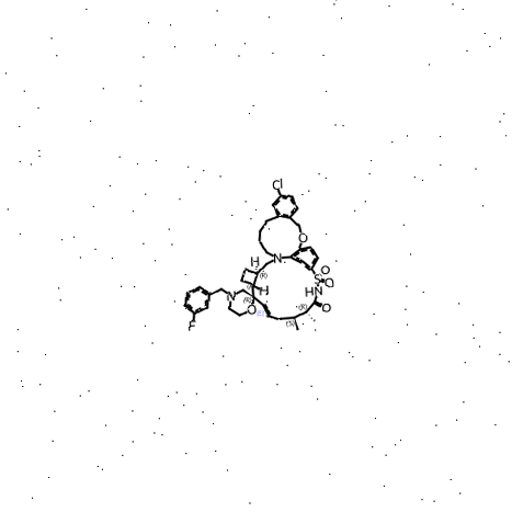 C[C@H]1C/C=C/[C@@]2(CN(Cc3cccc(F)c3)CCO2)[C@@H]2CC[C@H]2CN2CCCCc3cc(Cl)ccc3COc3ccc(cc32)S(=O)(=O)NC(=O)[C@@H]1C